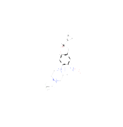 CONc1cc2c(cc1N1CCN(CC(F)F)CC1)OC(C)(C1CC1)C2